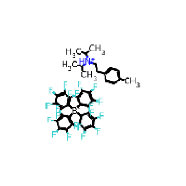 Cc1ccc(CC[NH+](C(C)C)C(C)C)cc1.Fc1c(F)c(F)c([B-](c2c(F)c(F)c(F)c(F)c2F)(c2c(F)c(F)c(F)c(F)c2F)c2c(F)c(F)c(F)c(F)c2F)c(F)c1F